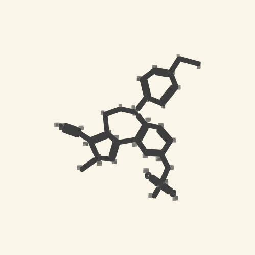 CCc1ccc(N2CCc3c(cn(C)c3C#N)-c3cc(CS(C)(=O)=O)ccc32)cc1